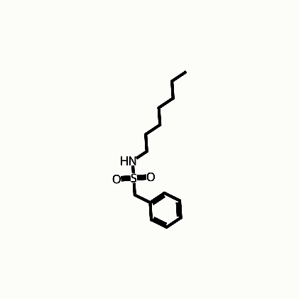 CCCCCCCNS(=O)(=O)Cc1ccccc1